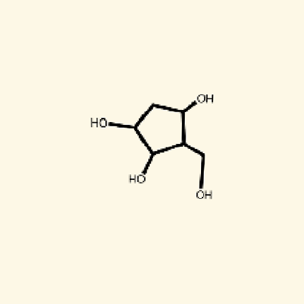 OCC1C(O)CC(O)C1O